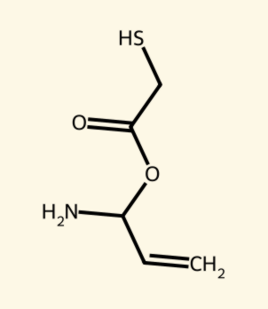 C=CC(N)OC(=O)CS